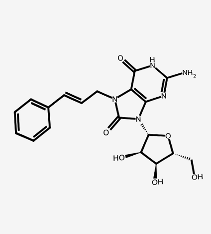 Nc1nc2c(c(=O)[nH]1)n(CC=Cc1ccccc1)c(=O)n2[C@@H]1O[C@H](CO)[C@@H](O)[C@H]1O